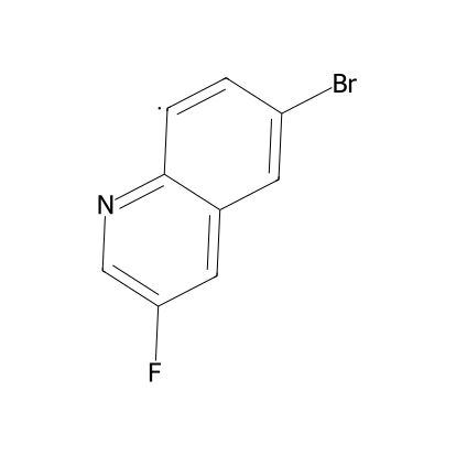 Fc1cnc2[c]cc(Br)cc2c1